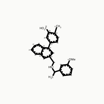 COc1cccc(C(C)NCc2cc(-c3ccc(C)c(C(=O)O)c3)c3ccccc3c2)c1